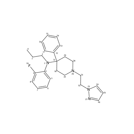 CCCN(c1ccccc1F)C1(c2ccccc2)CCN(CCn2cccn2)CC1